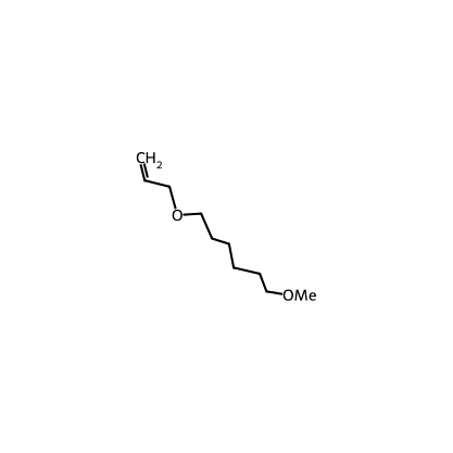 C=CCOCCCCCCOC